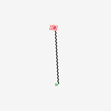 O=P(O)(O)OCCCCCCCCCCCCCCCCCCCCCCCCCCCCCCCCBr